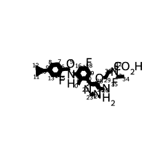 Cc1c(NC(=O)c2ccc(C3CC3)cc2F)cc(F)cc1-c1ncnc(N)c1OCCN(C(=O)O)C(C)F